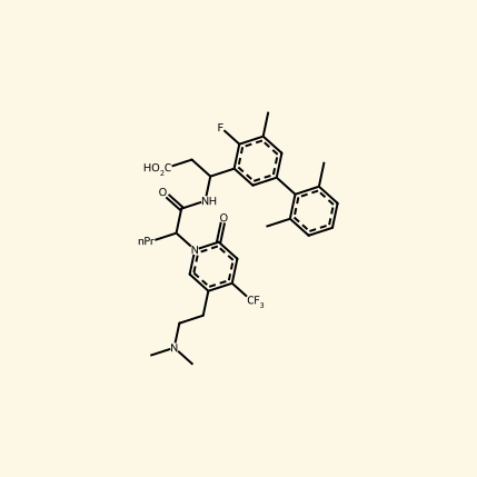 CCCC(C(=O)NC(CC(=O)O)c1cc(-c2c(C)cccc2C)cc(C)c1F)n1cc(CCN(C)C)c(C(F)(F)F)cc1=O